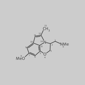 CNCC1COc2cc(OC)cc3cc(C)n1c23